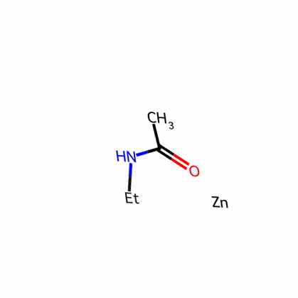 CCNC(C)=O.[Zn]